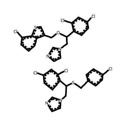 Clc1ccc(C(Cn2ccnc2)OCc2csc3c(Cl)cccc23)c(Cl)c1.Clc1ccc(CSC(Cn2ccnc2)c2ccc(Cl)cc2Cl)cc1